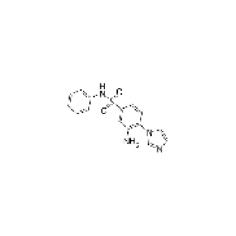 Nc1cc(S(=O)(=O)Nc2ccccc2)ccc1-n1ccnc1